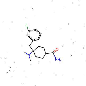 CN(C)C1(Cc2cccc(F)c2)CCC(C(N)=O)CC1